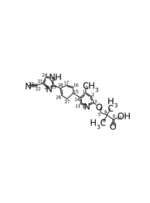 Cc1cc(OCC(C)(C)C(=O)O)ncc1C1C=CC(c2nc(C#N)c[nH]2)=CC1